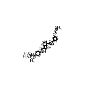 COCCOc1cccc(C2OC=C(c3ncnc4c(C(=O)NC5CCN(C(=O)OC(C)(C)C)CC5)c[nH]c34)O2)c1